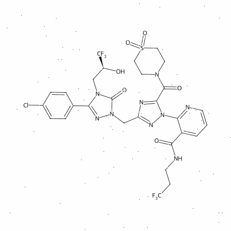 O=C(NCCC(F)(F)F)c1cccnc1-n1nc(Cn2nc(-c3ccc(Cl)cc3)n(C[C@H](O)C(F)(F)F)c2=O)nc1C(=O)N1CCS(=O)(=O)CC1